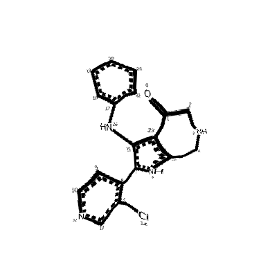 O=C1CNCc2[nH]c(-c3ccncc3Cl)c(Nc3ccccc3)c21